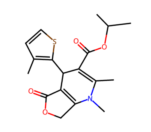 CC1=C(C(=O)OC(C)C)C(c2sccc2C)C2=C(COC2=O)N1C